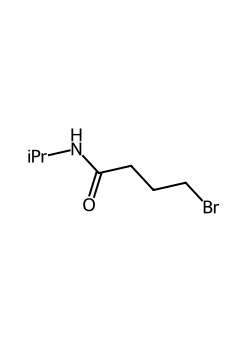 CC(C)NC(=O)CCCBr